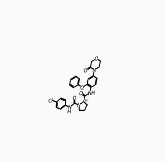 O=C(Nc1ccc(N2CCOCC2=O)cc1Oc1ccccc1)[C@H]1CCCN1C(=O)Nc1ccc(Cl)cc1